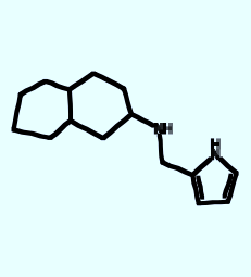 c1c[nH]c(CNC2CCC3CCCCC3C2)c1